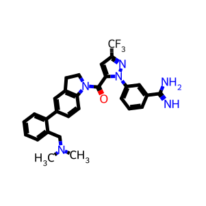 CN(C)Cc1ccccc1-c1ccc2c(c1)CCN2C(=O)c1cc(C(F)(F)F)nn1-c1cccc(C(=N)N)c1